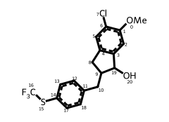 COc1cc2c(cc1Cl)CC(Cc1ccc(SC(F)(F)F)cc1)C2O